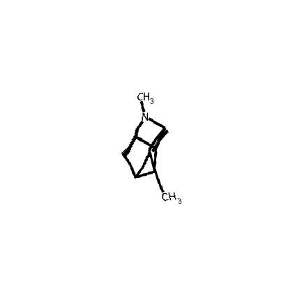 CC1C=C2C3CC1CC3N2C